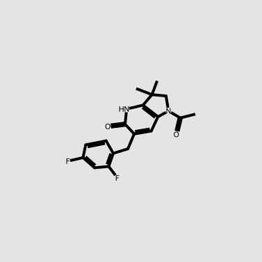 CC(=O)N1CC(C)(C)c2[nH]c(=O)c(Cc3ccc(F)cc3F)cc21